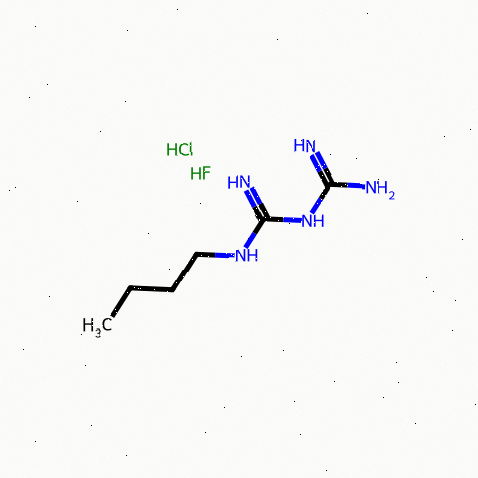 CCCCNC(=N)NC(=N)N.Cl.F